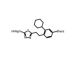 CCCCCCCc1nnc(CCc2ccc(C(C)CCC)cc2C2CCCCC2)s1